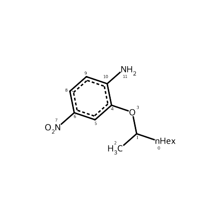 CCCCCCC(C)Oc1cc([N+](=O)[O-])[c]cc1N